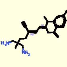 C#C/C(=C\C=C1/CC(=C)c2ccc(C)cc2C1C)CCC(C)(CN)CN